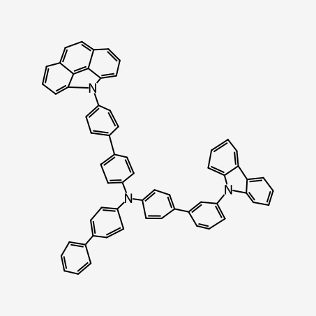 c1ccc(-c2ccc(N(c3ccc(-c4ccc(-n5c6cccc7ccc8cccc5c8c76)cc4)cc3)c3ccc(-c4cccc(-n5c6ccccc6c6ccccc65)c4)cc3)cc2)cc1